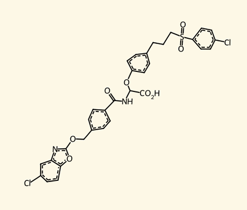 O=C(NC(Oc1ccc(CCCS(=O)(=O)c2ccc(Cl)cc2)cc1)C(=O)O)c1ccc(COc2nc3cc(Cl)ccc3o2)cc1